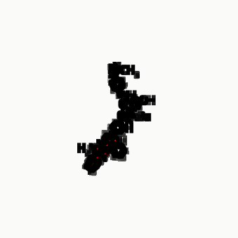 Cc1ncsc1-c1ccc(CNC(=O)[C@@H]2C[C@@H](O)CN2C(=O)[C@@H](NC(=O)[C@H]2CC[C@@H](N3CCC(c4cnc(N5C6CCC5CN(c5cc(-c7ccccc7O)nnc5N)C6)nc4)CC3)CC2)C(C)(C)C)cc1